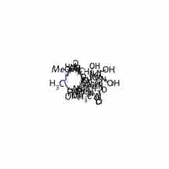 CNN(C)Cc1cc2ccccc2n1CCC(=O)NCC(=O)N(CCO)CC(=O)N(CCO)CC(=O)N(CCO)CCC(=O)N(C)[C@@H](C)C(=O)O[C@H]1CC(=O)N(C)c2cc(cc(OC)c2Cl)C/C(C)=C/C=C/[C@@H](OC)[C@@]2(O)C[C@H](OC(=O)N2)[C@@H](C)C2O[C@]21C